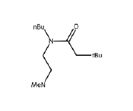 CCCCN(CCNC)C(=O)CC(C)(C)C